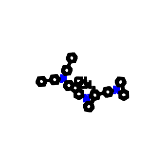 CC1(C)c2cc(N(c3ccc(-c4ccccc4)cc3)c3ccc(-c4ccccc4)cc3)ccc2-c2ccc(-n3c4ccccc4c4cc(-c5ccc(-n6c7ccccc7c7ccccc76)cc5)ccc43)cc21